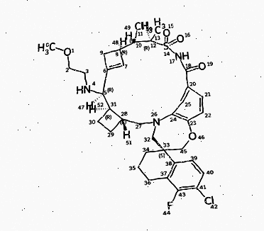 COCCN[C@H]1C2=C[C@@H](C2)[C@H](C)[C@@H](C)S(=O)(=O)NC(=O)c2ccc3c(c2)N(C[C@@H]2CC[C@H]21)C[C@@]1(CCCc2c1ccc(Cl)c2F)CO3